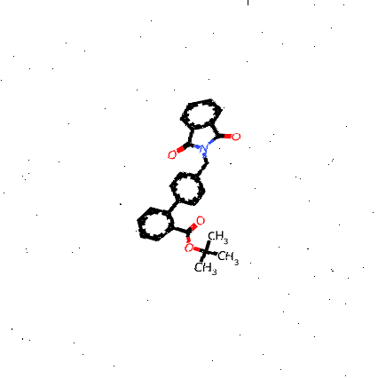 CC(C)(C)OC(=O)c1ccccc1-c1ccc(CN2C(=O)c3ccccc3C2=O)cc1